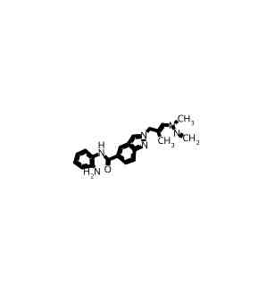 C=NN(C)/C=C(\C)Cn1cc2cc(C(=O)Nc3ccccc3N)ccc2n1